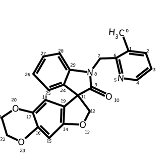 Cc1cccnc1CN1C(=O)C2(COc3cc4c(cc32)OCCO4)c2ccccc21